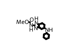 COC(=O)Nc1nc2cc(Nc3ccccc3)ccc2[nH]1